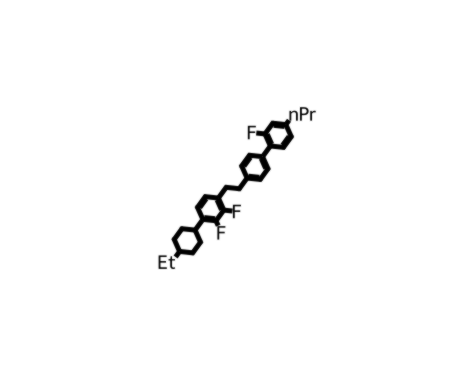 CCCc1ccc(-c2ccc(CCc3ccc(C4CCC(CC)CC4)c(F)c3F)cc2)c(F)c1